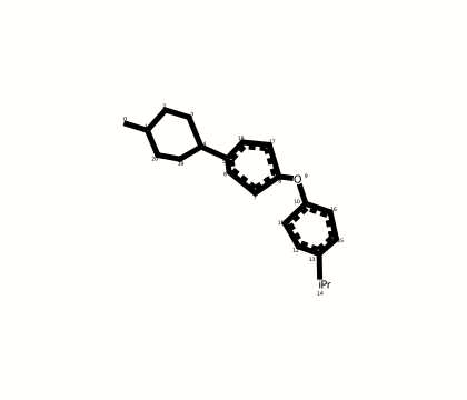 CC1CCC(c2ccc(Oc3ccc(C(C)C)cc3)cc2)CC1